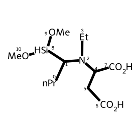 CCCC(N(CC)C(CC(=O)O)C(=O)O)[SiH](OC)OC